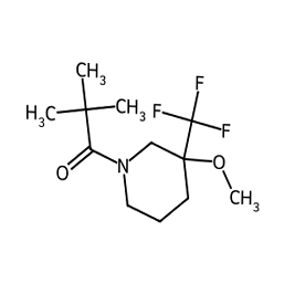 COC1(C(F)(F)F)CCCN(C(=O)C(C)(C)C)C1